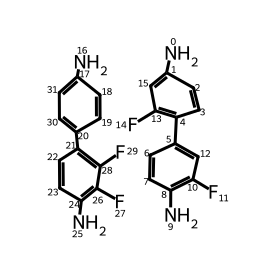 Nc1ccc(-c2ccc(N)c(F)c2)c(F)c1.Nc1ccc(-c2ccc(N)c(F)c2F)cc1